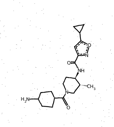 C[C@@H]1CN(C(=O)C2CCC(N)CC2)CC[C@H]1NC(=O)c1cc(C2CC2)on1